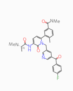 CNC(=O)c1ccc(C)c(-c2ccc(NC(=O)[C@H](C)NC)c(=O)n2Cc2cncc(C(=O)c3ccc(F)cc3)c2)c1